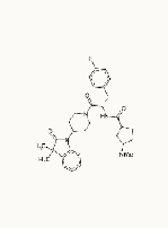 CN[C@@H]1CC[C@H](C(=O)N[C@@H](Cc2ccc(F)cc2)C(=O)N2CCC(N3C(=O)C(C)(C)c4ccccc43)CC2)C1